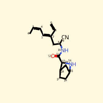 C=C/C(=C\C=C/C)CC(C#N)NC(=O)C1NC2CCC1C2